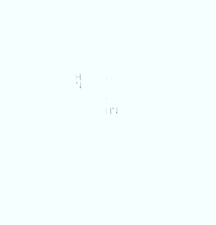 CC1=CC=CC(C)C1NC(=O)C1CCCN1